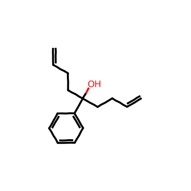 C=CCCC(O)(CCC=C)c1ccccc1